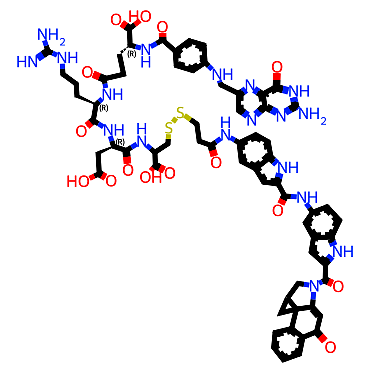 N=C(N)NCCC[C@@H](NC(=O)CC[C@@H](NC(=O)c1ccc(NCc2cnc3nc(N)[nH]c(=O)c3n2)cc1)C(=O)O)C(=O)N[C@H](CC(=O)O)C(=O)NC(CSSCCC(=O)Nc1ccc2[nH]c(C(=O)Nc3ccc4[nH]c(C(=O)N5CC6CC67C5=CC(=O)c5ccccc57)cc4c3)cc2c1)C(=O)O